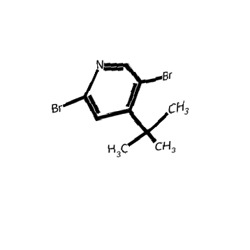 CC(C)(C)c1cc(Br)ncc1Br